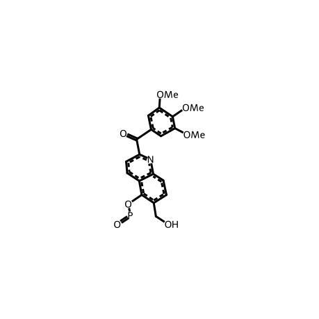 COc1cc(C(=O)c2ccc3c(OP=O)c(CO)ccc3n2)cc(OC)c1OC